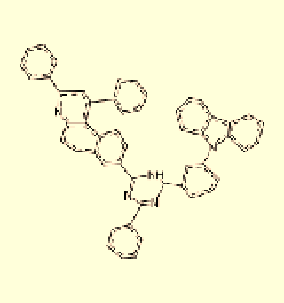 c1ccc(C2=NC(c3cccc(-n4c5ccccc5c5ccccc54)c3)NC(c3ccc4c(ccc5nc(-c6ccccc6)cc(-c6ccccc6)c54)c3)=N2)cc1